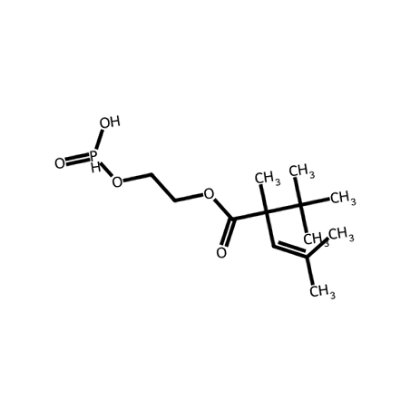 CC(C)=CC(C)(C(=O)OCCO[PH](=O)O)C(C)(C)C